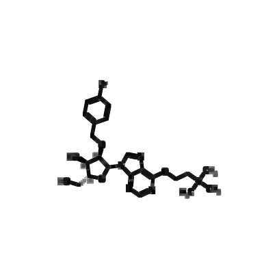 C[Si](C)(C)CCOc1ncnc2c1ncn2C1O[C@H](CO)[C@@H](O)[C@H]1OCc1ccc(Br)cc1